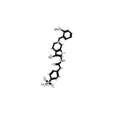 COc1ccccc1CN1CCc2c(sc(NC(=O)Cc3ccc(S(N)(=O)=O)cc3)c2C#N)C1